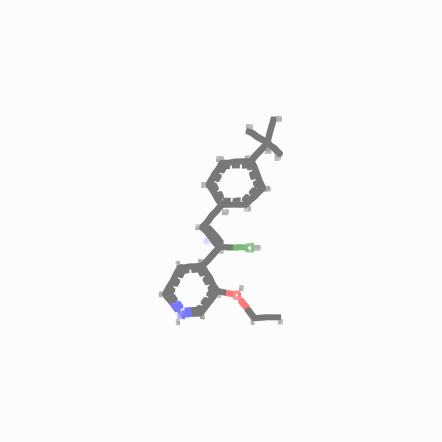 CCOc1cnccc1/C(Cl)=C/c1ccc(C(C)(C)C)cc1